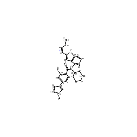 Cn1cc(-c2ccc(C(=O)N(c3nccc4sc(/C=C\CO)cc34)[C@@H]3CCCNC3)c(F)c2)nn1